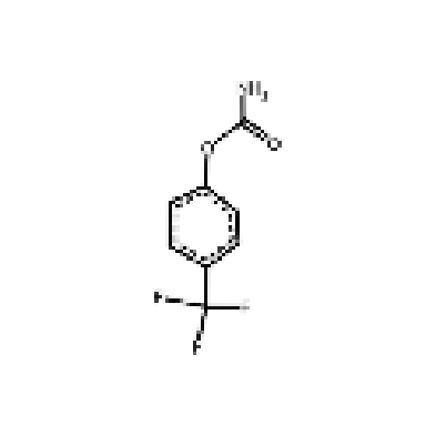 NC(=O)Oc1ccc(C(F)(F)F)cc1